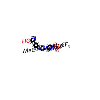 COc1cc(-c2cncc(O)c2)ccc1CN1CCN(c2ccc(C(=O)NS(=O)(=O)CCC(F)(F)F)cc2)CC1